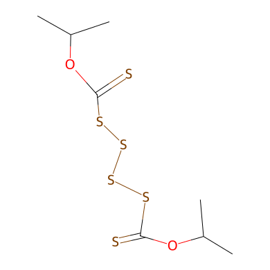 CC(C)OC(=S)SSSSC(=S)OC(C)C